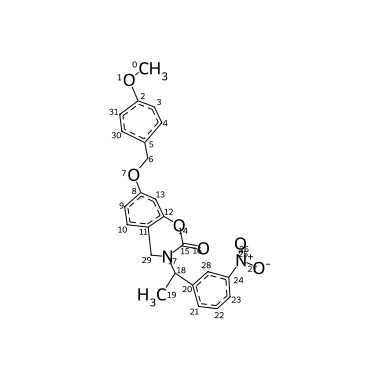 COc1ccc(COc2ccc3c(c2)OC(=O)N(C(C)c2cccc([N+](=O)[O-])c2)C3)cc1